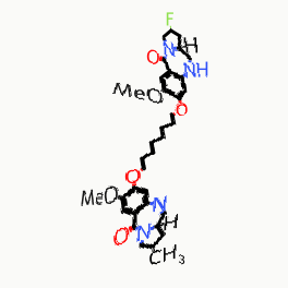 COc1cc2c(cc1OCCCCCCCCOc1cc3c(cc1OC)C(=O)N1C[C@@H](F)C[C@H]1CN3)N=C[C@@H]1C[C@H](C)CN1C2=O